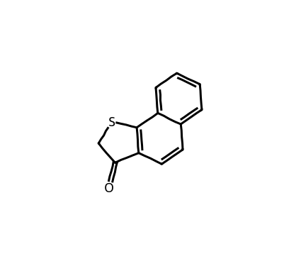 O=C1CSc2c1ccc1ccccc21